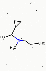 CC(C1CC1)N(C)CCC=O